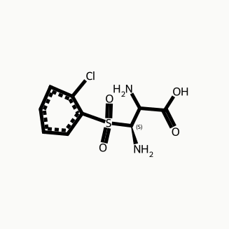 NC(C(=O)O)[C@@H](N)S(=O)(=O)c1ccccc1Cl